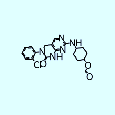 O=COC1CCC(Nc2ncc3c(n2)NC(=O)N(c2ccccc2Cl)C3)CC1